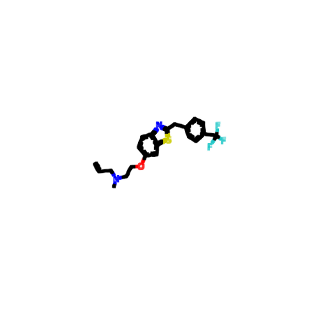 C=CCN(C)CCOc1ccc2nc(Cc3ccc(C(F)(F)F)cc3)sc2c1